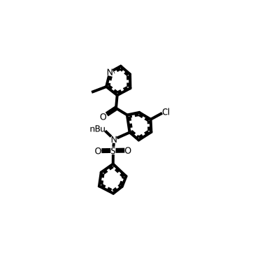 CCCCN(c1ccc(Cl)cc1C(=O)c1cccnc1C)S(=O)(=O)c1ccccc1